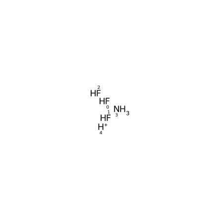 F.F.F.N.[H+]